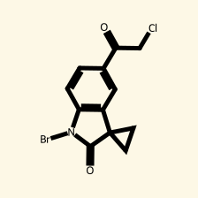 O=C(CCl)c1ccc2c(c1)C1(CC1)C(=O)N2Br